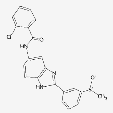 C[S+]([O-])c1cccc(-c2nc3cc(NC(=O)c4ccccc4Cl)ccc3[nH]2)c1